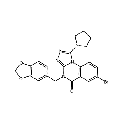 O=c1c2cc(Br)ccc2n2c(N3CCCC3)nnc2n1Cc1ccc2c(c1)OCO2